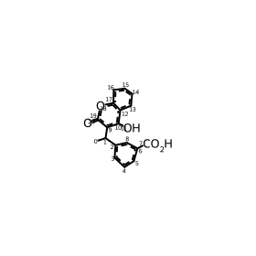 CC(c1cccc(C(=O)O)c1)c1c(O)c2ccccc2oc1=O